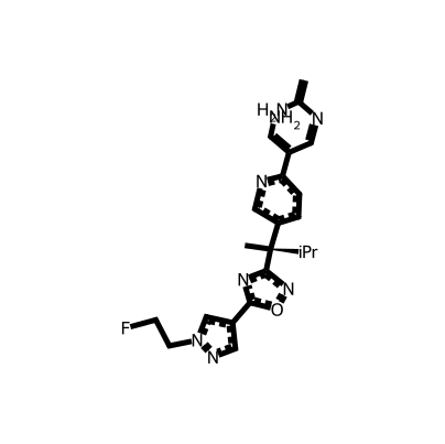 C=C(N)/N=C\C(=C/N)c1ccc([C@@](C)(c2noc(-c3cnn(CCF)c3)n2)C(C)C)cn1